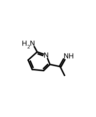 CC(=N)c1cccc(N)n1